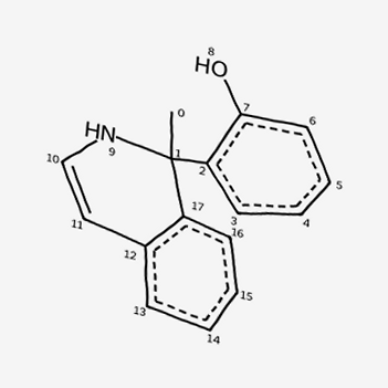 CC1(c2ccccc2O)NC=Cc2ccccc21